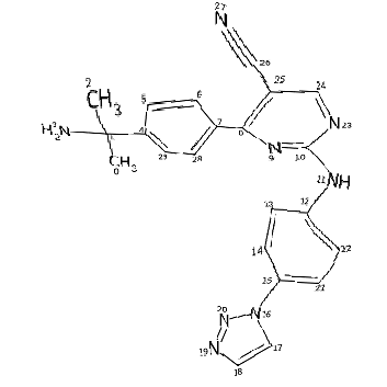 CC(C)(N)c1ccc(-c2nc(Nc3ccc(-n4ccnn4)cc3)ncc2C#N)cc1